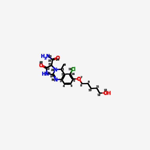 CC1c2c(ccc(OCCCCCO)c2Cl)N=C2NC(=O)C(C(N)=O)N21